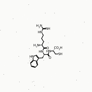 N=C(N)NCCC[C@H](N)C(=O)N[C@H](Cc1c[nH]c2ccccc12)C(=O)N[C@@H](CS)C(=O)O